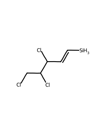 [SiH3]C=CC(Cl)C(Cl)CCl